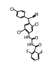 N#CC(c1ccc(Cl)cc1)c1cc(Cl)c(NC(=O)NC(=O)c2c(F)cccc2F)cc1Cl